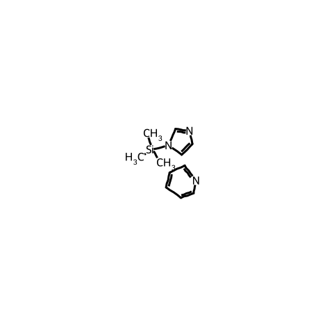 C[Si](C)(C)n1ccnc1.c1ccncc1